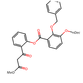 CCCCCCCCCCOc1cccc(C(=O)Oc2ccccc2C(=O)CC(=O)OC)c1OCc1ccccc1